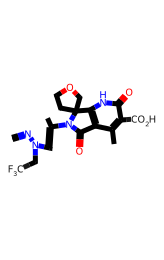 C=NN(/C=C(\C)N1C(=O)c2c([nH]c(=O)c(C(=O)O)c2C)C12CCOC2)CC(F)(F)F